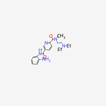 CCN(CC)CCN(C)C(=O)c1ccc(C(=O)Nc2ccccc2N)cn1